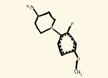 COc1ccc(N2CCC(N)CC2)c(F)c1